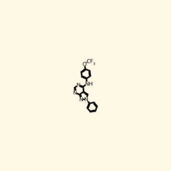 FC(F)(F)Oc1ccc(Nc2ncnc3nn(-c4ccccc4)cc23)cc1